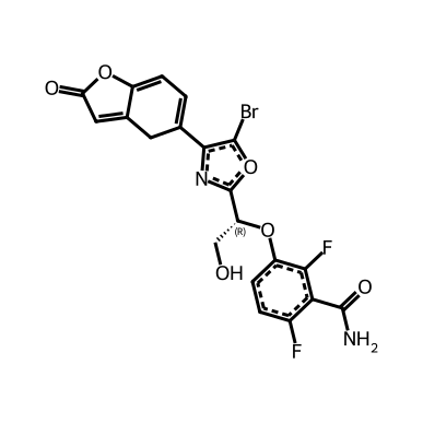 NC(=O)c1c(F)ccc(O[C@H](CO)c2nc(C3=CC=C4OC(=O)C=C4C3)c(Br)o2)c1F